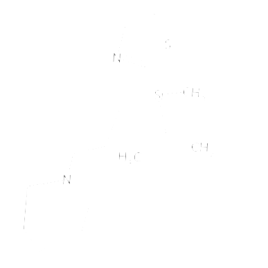 CC(C)[Si](C)(CCCN1CCCCC1)C1=NCCS1